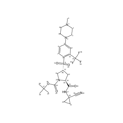 CN1CCN(c2ccc(S(=O)(=O)[C@@H]3C[C@@H](C(=O)NC4(C#N)CC4)N(C(=O)OC(C)(C)C)C3)c(C(F)(F)F)c2)CC1